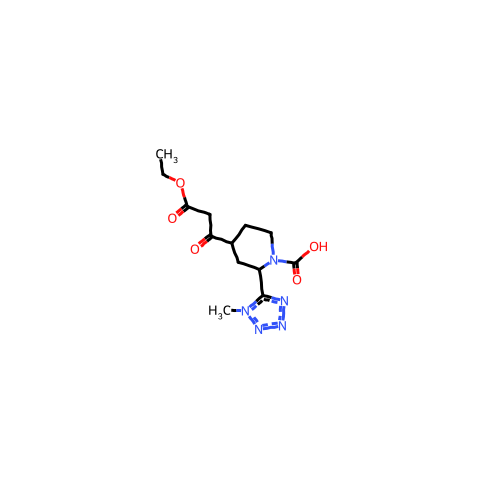 CCOC(=O)CC(=O)C1CCN(C(=O)O)C(c2nnnn2C)C1